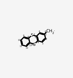 [CH2]c1ccc2c(c1)Sc1ccccc1S2